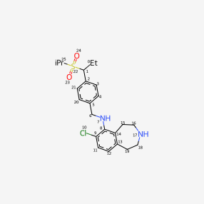 CCC(c1ccc(CNc2c(Cl)ccc3c2CCNCC3)cc1)S(=O)(=O)C(C)C